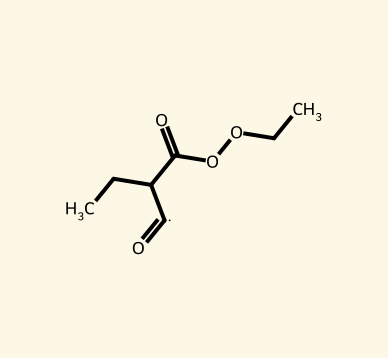 CCOOC(=O)C([C]=O)CC